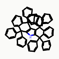 c1ccc(C2(c3ccccc3)c3ccccc3C(c3ccccc3)(c3ccccc3)c3c2[nH]c2c3C(c3ccccc3)(c3ccccc3)c3ccccc3C2(c2ccccc2)c2ccccc2)cc1